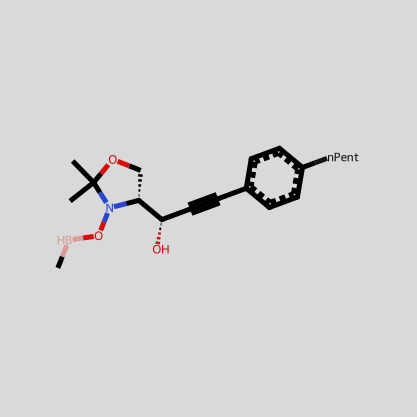 CBON1[C@@H]([C@@H](O)C#Cc2ccc(CCCCC)cc2)COC1(C)C